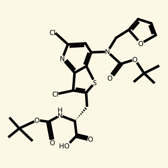 CC(C)(C)OC(=O)N[C@H](Cc1sc2c(N(Cc3ccco3)C(=O)OC(C)(C)C)cc(Cl)nc2c1Cl)C(=O)O